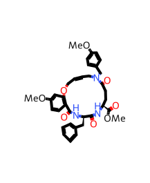 COC(=O)[C@@H]1CCC(=O)N(Cc2ccc(OC)cc2)C/C=C/COc2cc(OC)ccc2C(=O)N[C@H](Cc2ccccc2)C(=O)N1